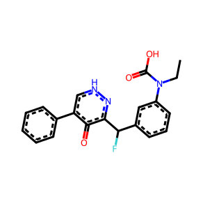 CCN(C(=O)O)c1cccc(C(F)c2n[nH]cc(-c3ccccc3)c2=O)c1